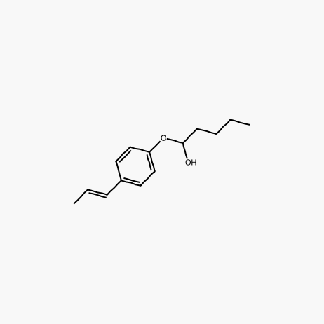 CC=Cc1ccc(OC(O)CCCC)cc1